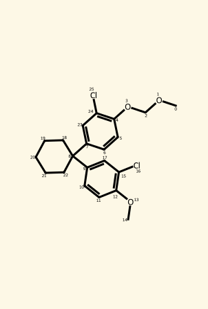 COCOc1ccc(C2(c3ccc(OC)c(Cl)c3)CCCCC2)cc1Cl